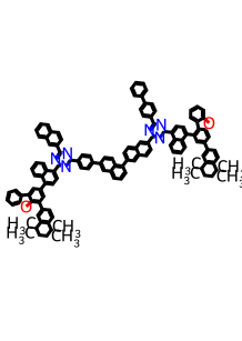 CC1(C)CCC(C)(C)c2cc(-c3cc(-c4ccc(-c5nc(-c6ccc(-c7ccccc7)cc6)nc(-c6ccc7cc(-c8cccc9cc(-c%10ccc(-c%11nc(-c%12ccc%13ccccc%13c%12)nc(-c%12ccc(-c%13cc(-c%14ccc%15c(c%14)C(C)(C)CCC%15(C)C)c%14oc%15ccccc%15c%14c%13)c%13ccccc%12%13)n%11)cc%10)ccc89)ccc7c6)n5)c5ccccc45)c4c(c3)oc3ccccc34)ccc21